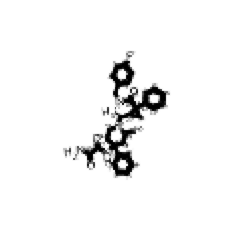 CN(Cc1ccc(F)cc1)C(=O)C1(c2ccccc2)CC1CN1CCC(NC(=O)C(N)=O)(c2ccccc2)CC1I